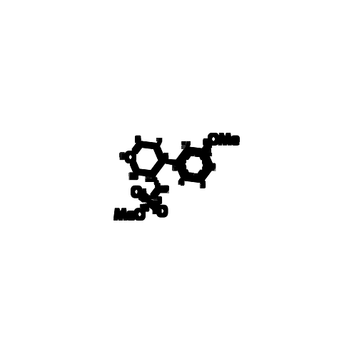 COc1cccc([C@@H]2CCOC[C@H]2CS(=O)(=O)OC)c1